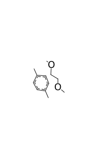 COCCOC.Cc1ccc(C)cc1